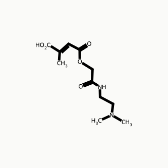 CC(=CC(=O)OCC(=O)NCCN(C)C)C(=O)O